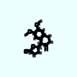 COc1cc2c(cc1OC)C(C1CCC(=O)O1)NCC2